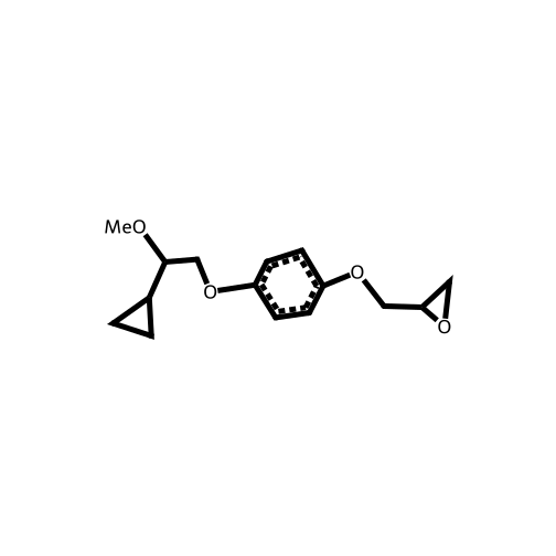 COC(COc1ccc(OCC2CO2)cc1)C1CC1